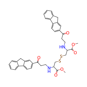 COC(=O)C(CSSCC(NCCC(=O)c1ccc2c(c1)Cc1ccccc1-2)C(=O)OC)NCCC(=O)c1ccc2c(c1)Cc1ccccc1-2